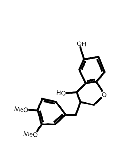 COc1ccc(CC2COc3ccc(O)cc3C2O)cc1OC